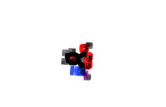 COC(=O)C1=C(C(=O)NI)C2C=CC1O2